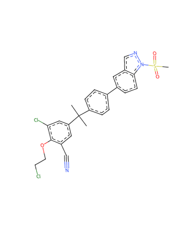 CC(C)(c1ccc(-c2ccc3c(cnn3S(C)(=O)=O)c2)cc1)c1cc(Cl)c(OCCCl)c(C#N)c1